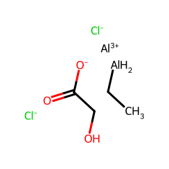 C[CH2][AlH2].O=C([O-])CO.[Al+3].[Cl-].[Cl-]